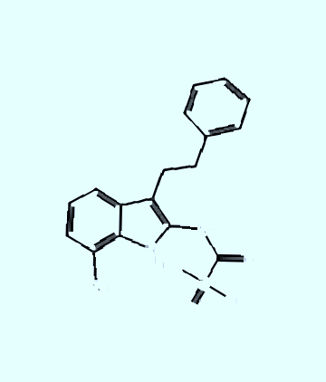 Nc1cccc2c(CCc3ccccc3)c(NC(=O)P(=O)(O)O)[nH]c12